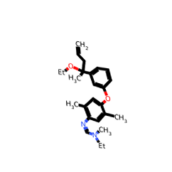 C=CCC(C)(OCC)c1cccc(Oc2cc(C)c(/N=C\N(C)CC)cc2C)c1